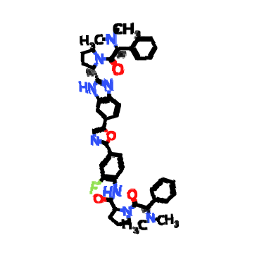 CN(C)[C@@H](C(=O)N1CCCC1C(=O)Nc1ccc(-c2ncc(-c3ccc4nc([C@@H]5CCCN5C(=O)[C@@H](c5ccccc5)N(C)C)[nH]c4c3)o2)cc1F)c1ccccc1